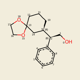 OC[C@@H](c1ccccc1)[C@@H]1CCCC2(C1)OCCO2